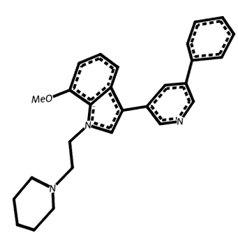 COc1cccc2c(-c3cncc(-c4ccccc4)c3)cn(CCN3CCCCC3)c12